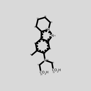 Cc1cc2c3n(nc2cc1N(CC(=O)O)CC(=O)O)CCCC3